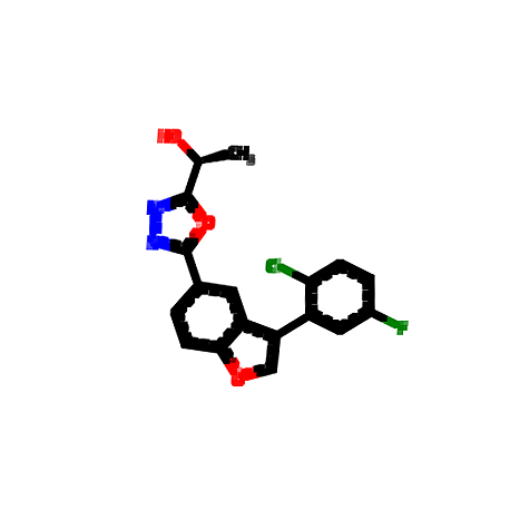 C[C@H](O)c1nnc(-c2ccc3occ(-c4cc(F)ccc4Cl)c3c2)o1